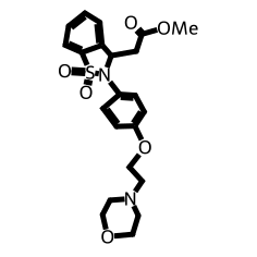 COC(=O)CC1c2ccccc2S(=O)(=O)N1c1ccc(OCCN2CCOCC2)cc1